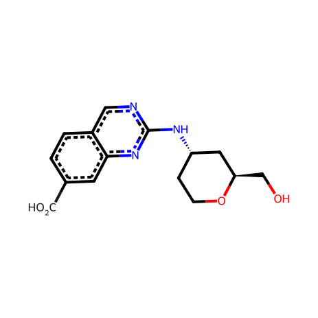 O=C(O)c1ccc2cnc(N[C@H]3CCO[C@H](CO)C3)nc2c1